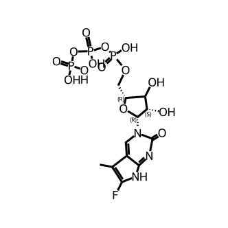 Cc1c(F)[nH]c2nc(=O)n([C@@H]3O[C@H](COP(=O)(O)OP(=O)(O)OP(=O)(O)O)C(O)[C@@H]3O)cc12